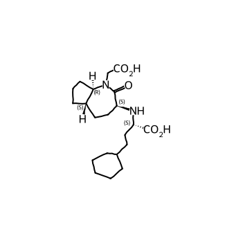 O=C(O)CN1C(=O)[C@@H](N[C@@H](CCC2CCCCC2)C(=O)O)CC[C@@H]2CCC[C@H]21